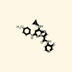 C[C@H]1CC[C@H](Nc2cc(NC3CC3)c3ncc(C(=O)Nc4ccncc4F)n3n2)CC1